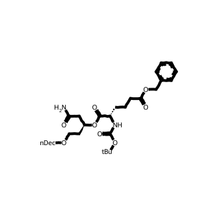 CCCCCCCCCCOCC[C@@H](CC(N)=O)OC(=O)[C@H](CCCC(=O)OCc1ccccc1)NC(=O)OC(C)(C)C